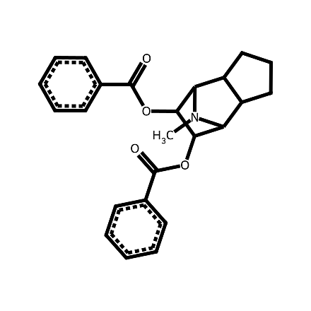 CN1C2C3CCCC3C1C(OC(=O)c1ccccc1)C2OC(=O)c1ccccc1